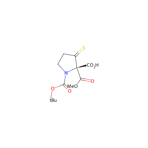 COC(=O)[C@@]1(C(=O)O)C(=S)CCN1C(=O)OC(C)(C)C